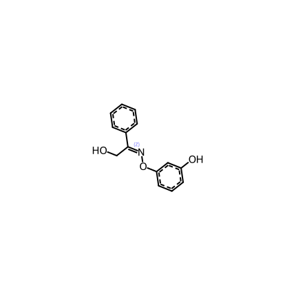 OC/C(=N\Oc1cccc(O)c1)c1ccccc1